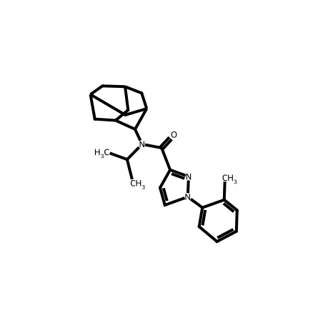 Cc1ccccc1-n1ccc(C(=O)N(C(C)C)C2C3CC4CC(C3)CC2C4)n1